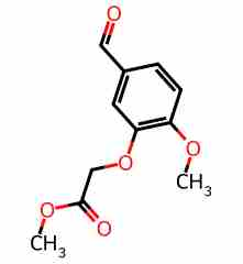 COC(=O)COc1cc(C=O)ccc1OC